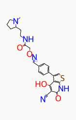 CN1CCCC1CCNC(=O)CO/N=C/c1ccc(-c2csc3[nH]c(=O)c(C#N)c(O)c23)cc1